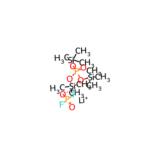 C[Si](C)(C)OP(=O)(O[Si](C)(C)C)O[Si](C)(C)C.O=P([O-])(F)F.[Li+]